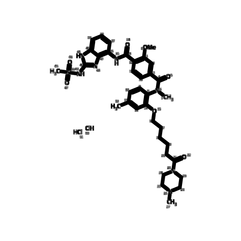 COc1cc(C(=O)N(C)c2ccc(C)cc2OCCCCCC(=O)N2CCN(C)CC2)ccc1C(=O)Nc1cccc2[nH]c(NS(C)(=O)=O)nc12.Cl.Cl